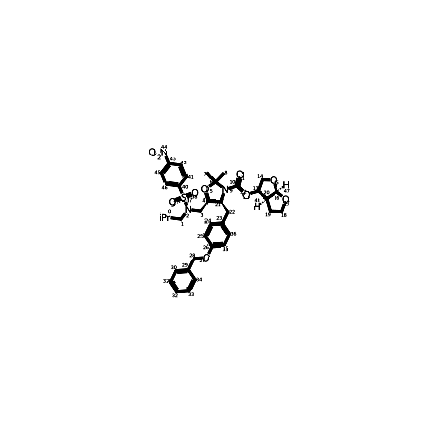 CC(C)CN(C[C@H]1OC(C)(C)N(C(=O)OC2CO[C@H]3OCC[C@@H]23)[C@H]1Cc1ccc(OCc2ccccc2)cc1)S(=O)(=O)c1ccc([N+](=O)[O-])cc1